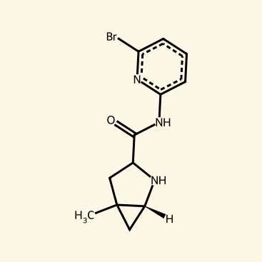 CC12CC(C(=O)Nc3cccc(Br)n3)N[C@@H]1C2